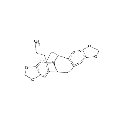 NCCCN1C2Cc3cc4c(cc3C1Cc1cc3c(cc12)OCO3)OCO4